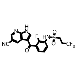 N#Cc1cnc2[nH]cc(C(=O)c3cccc(NS(=O)(=O)CCC(F)(F)F)c3F)c2c1